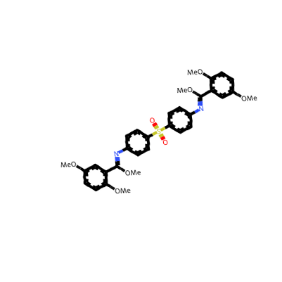 CO/C(=N\c1ccc(S(=O)(=O)c2ccc(/N=C(\OC)c3cc(OC)ccc3OC)cc2)cc1)c1cc(OC)ccc1OC